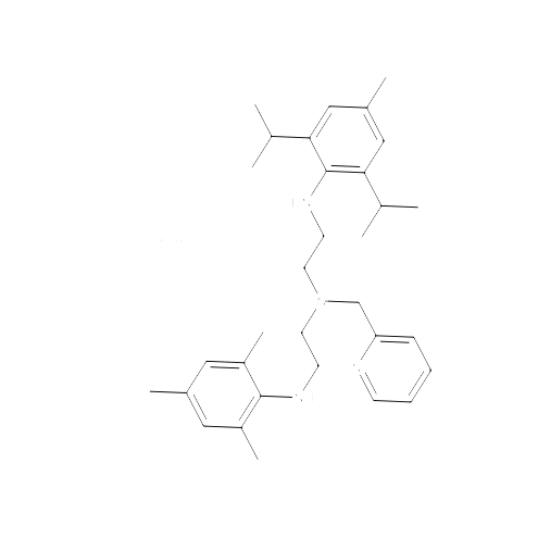 Cc1cc(C)c(NCCN(CCNc2c(C(C)C)cc(C)cc2C(C)C)Cc2ccccn2)c(C)c1.[Br-].[Br-].[Co+2]